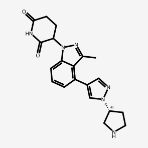 Cc1nn(C2CCC(=O)NC2=O)c2cccc(-c3cnn([C@@H]4CCNC4)c3)c12